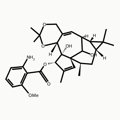 COc1cccc(N)c1C(=O)O[C@H]1C(C)=C[C@]23C(O)[C@@H](C=C4COC(C)(C)O[C@H]4[C@]12O)[C@H]1[C@@H](C[C@H]3C)C1(C)C